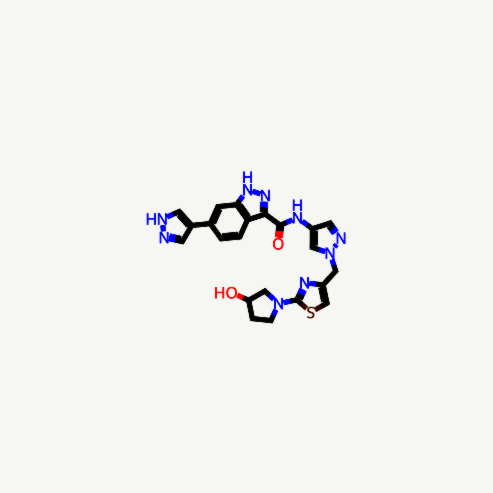 O=C(Nc1cnn(Cc2csc(N3CCC(O)C3)n2)c1)c1n[nH]c2cc(-c3cn[nH]c3)ccc12